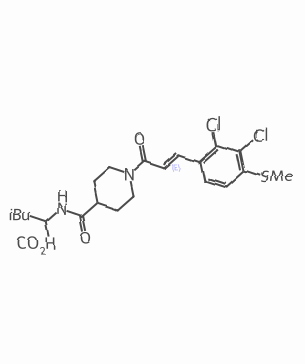 CCC(C)C(NC(=O)C1CCN(C(=O)/C=C/c2ccc(SC)c(Cl)c2Cl)CC1)C(=O)O